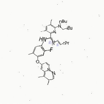 CCC/C=C/N=C(/Nc1cc(C)c(OC2=CC3=C(C)C(C)C=NN3C=C2)cc1F)c1nc(N(CCCC)CC(C)CC)c(C)cc1C